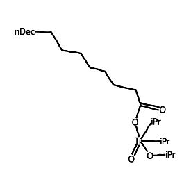 CCCCCCCCCCCCCCCCCC(=O)[O][Ti](=[O])([O]C(C)C)([CH](C)C)[CH](C)C